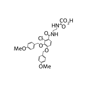 COc1ccc(COc2ccc(C(=O)NCCNC(=O)C(=O)O)c(Cl)c2OCc2ccc(OC)cc2)cc1